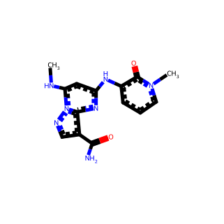 CNc1cc(Nc2cccn(C)c2=O)nc2c(C(N)=O)cnn12